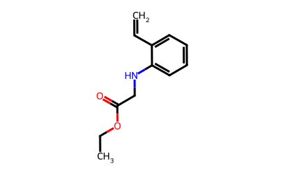 C=Cc1ccccc1NCC(=O)OCC